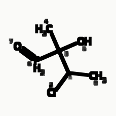 CC(Cl)C(C)(O)[PH2]=O